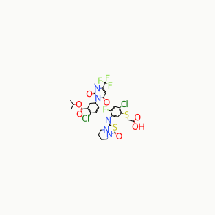 CC(C)OC(=O)c1cc(-n2c(=O)cc(C(F)(F)F)n(C)c2=O)ccc1Cl.O=C(O)CSc1cc(N=c2sc(=O)n3n2CCCC3)c(F)cc1Cl